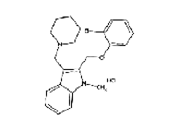 Cl.Cn1c(COc2ccccc2Cl)c(CN2CCCCC2)c2ccccc21